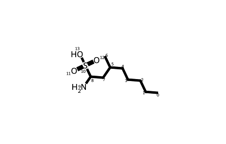 CCCCCC(C)CC(N)S(=O)(=O)O